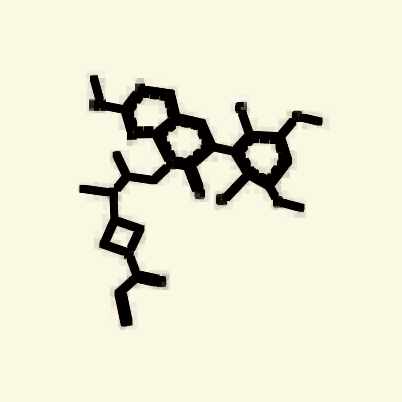 C=CC(=O)N1CC(N(C)C(C)Cn2c(=O)c(-c3c(Cl)c(OC)cc(OC)c3Cl)cc3cnc(NC)nc32)C1